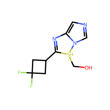 OC[SH]1C(C2CC(F)(F)C2)=Nc2cncn21